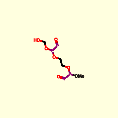 COP(OCCOP(OCO)P=O)P=O